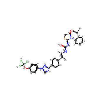 C/C(NC(=O)/N=C1\SCC(=O)N1c1ccccc1C(C)C)=C(/C)c1ccc(-c2ncn(-c3ccc(OC(F)(F)F)cc3)n2)cc1